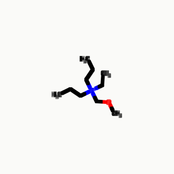 CCC[N+](CC)(CCC)COC